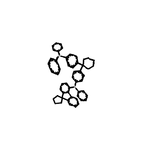 c1ccc(N(c2ccccc2)c2ccc(C3(c4ccc(N(c5ccccc5)c5cccc6c5-c5ccccc5C65CCCC5)cc4)CCCCC3)cc2)cc1